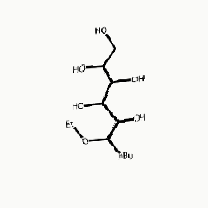 CCCCC(OCC)C(O)C(O)C(O)C(O)CO